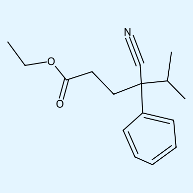 CCOC(=O)CCC(C#N)(c1ccccc1)C(C)C